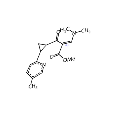 COC(=O)/C(=C/N(C)C)C(=O)C1CC1c1ccc(C)cn1